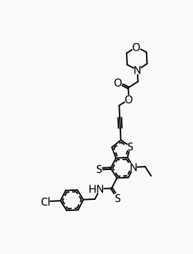 CCn1cc(C(=S)NCc2ccc(Cl)cc2)c(=S)c2cc(C#CCOC(=O)CN3CCOCC3)sc21